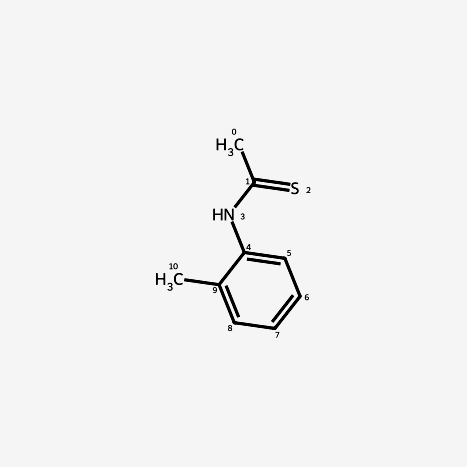 CC(=S)Nc1ccccc1C